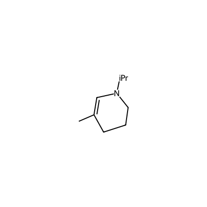 CC1=CN(C(C)C)CCC1